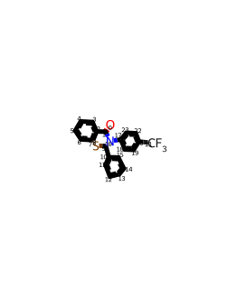 O=C1c2ccccc2SC(c2ccccc2)N1c1ccc(C(F)(F)F)cc1